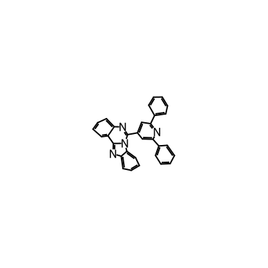 c1ccc(-c2cc(-c3nc4ccccc4c4nc5ccccc5n34)cc(-c3ccccc3)n2)cc1